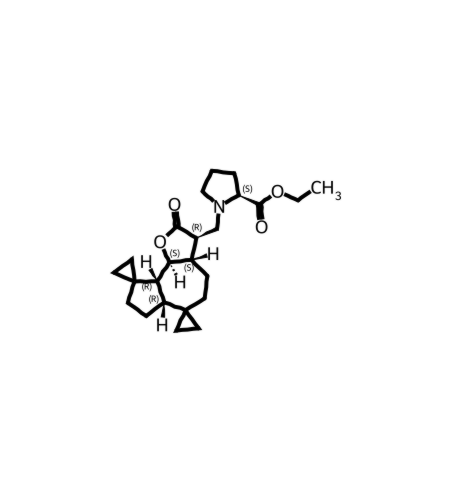 CCOC(=O)[C@@H]1CCCN1C[C@@H]1C(=O)O[C@H]2[C@H]1CCC1(CC1)[C@@H]1CCC3(CC3)[C@H]21